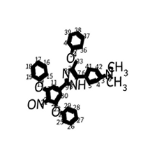 CN(C)c1ccc(-c2[nH]c(-c3cc(Oc4ccccc4)c(N=O)c(Oc4ccccc4)c3)nc2COc2ccccc2)cc1